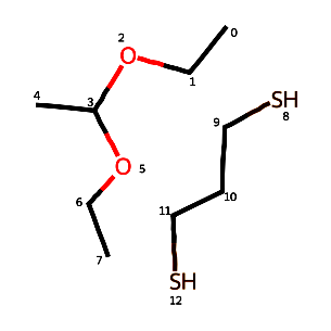 CCOC(C)OCC.SCCCS